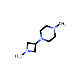 CN1CCN(C2CN(C)C2)CC1